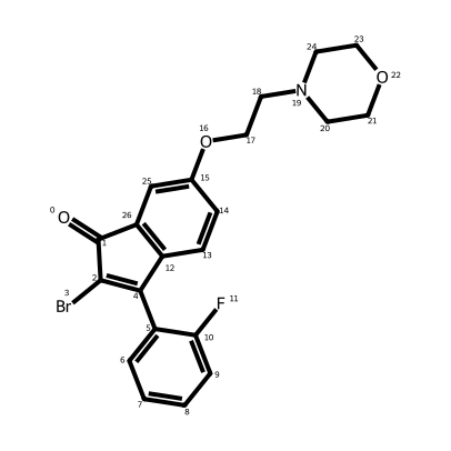 O=C1C(Br)=C(c2ccccc2F)c2ccc(OCCN3CCOCC3)cc21